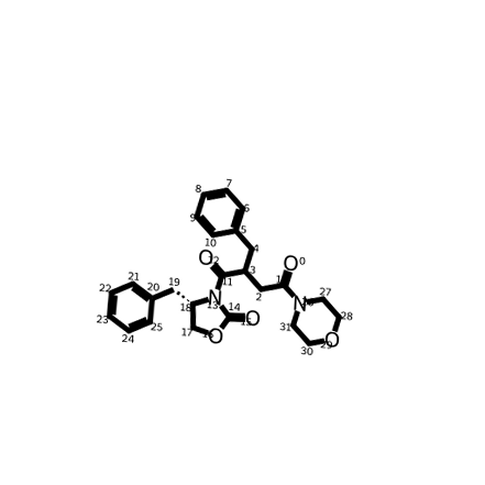 O=C(CC(Cc1ccccc1)C(=O)N1C(=O)OC[C@@H]1Cc1ccccc1)N1CCOCC1